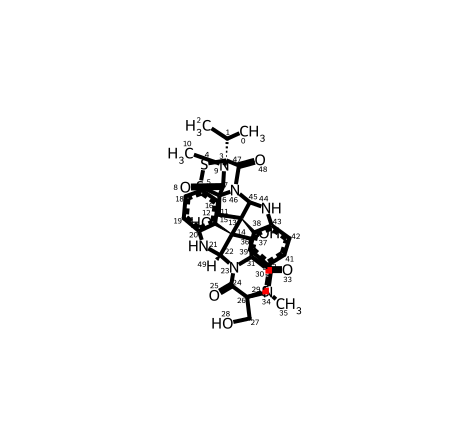 CC(C)[C@@]12SSC3(C(=O)N1C)[C@H](O)[C@]1([C@@]45c6ccccc6N[C@H]4N4C(=O)C6(CO)SSC4(C(=O)N6C)[C@H]5O)c4ccccc4NC1N3C2=O